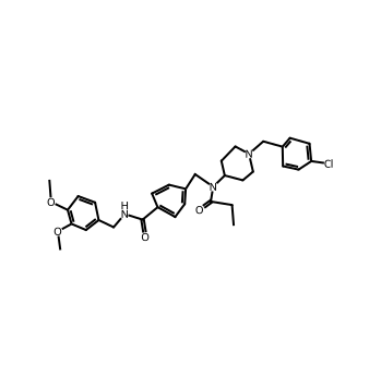 CCC(=O)N(Cc1ccc(C(=O)NCc2ccc(OC)c(OC)c2)cc1)C1CCN(Cc2ccc(Cl)cc2)CC1